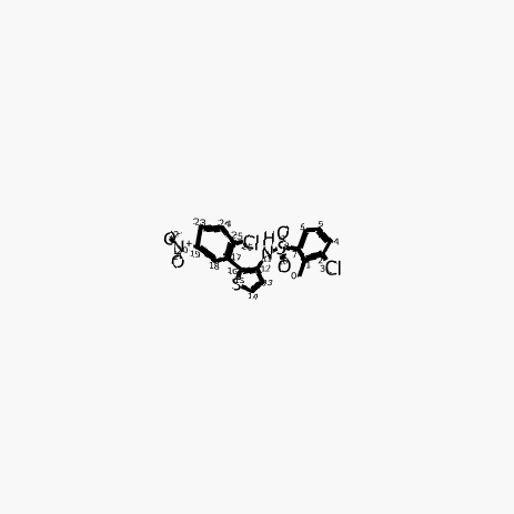 Cc1c(Cl)cccc1S(=O)(=O)Nc1ccsc1-c1cc([N+](=O)[O-])ccc1Cl